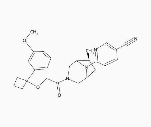 COc1cccc(C2(OCC(=O)N3CC4C[C@H](C)C(C3)N4c3ccc(C#N)cn3)CCC2)c1